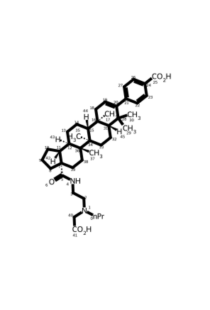 CCCN(CCNC(=O)[C@]12CCC[C@@H]1[C@H]1CC[C@@H]3[C@@]4(C)CC=C(c5ccc(C(=O)O)cc5)C(C)(C)[C@@H]4CC[C@@]3(C)[C@]1(C)CC2)CC(=O)O